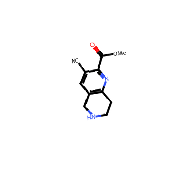 COC(=O)c1nc2c(cc1C#N)CNCC2